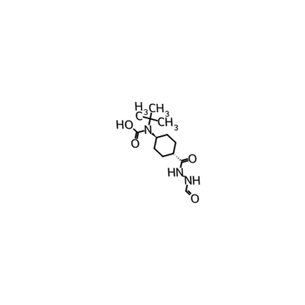 CC(C)(C)N(C(=O)O)[C@H]1CC[C@H](C(=O)NNC=O)CC1